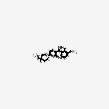 Cc1c(N)cccc1C(=N)c1ncc(N2CCC(C)(CN)CC2)nc1N